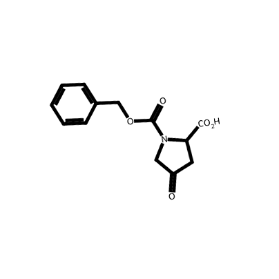 O=C1CC(C(=O)O)N(C(=O)OCc2ccccc2)C1